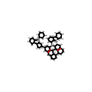 c1ccc(-c2cccc3cccc(-c4ccccc4N(c4cccc(-c5ccc6c7ccccc7n(-c7ccccc7)c6c5)c4)c4cccc5c4sc4ccccc45)c23)cc1